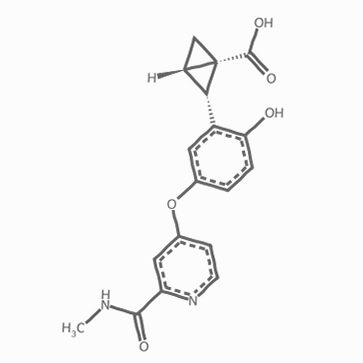 CNC(=O)c1cc(Oc2ccc(O)c([C@@H]3[C@@H]4C[C@@]34C(=O)O)c2)ccn1